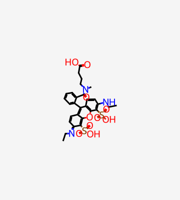 CCN=c1ccc2c(-c3ccccc3C(=O)N(C)CCCC(=O)O)c3ccc(NCC)c(S(=O)(=O)O)c3oc-2c1S(=O)(=O)O